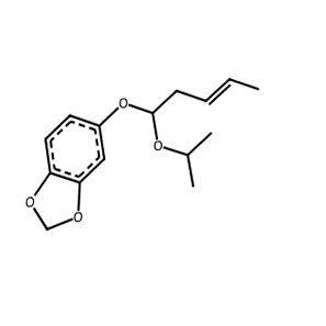 CC=CCC(Oc1ccc2c(c1)OCO2)OC(C)C